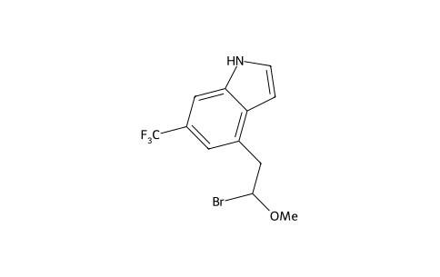 COC(Br)Cc1cc(C(F)(F)F)cc2[nH]ccc12